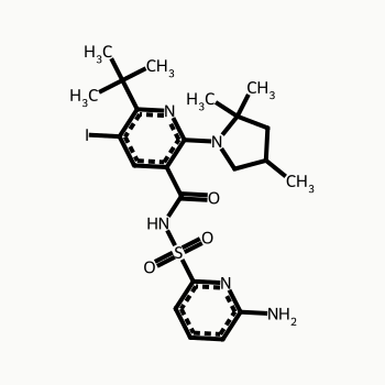 CC1CN(c2nc(C(C)(C)C)c(I)cc2C(=O)NS(=O)(=O)c2cccc(N)n2)C(C)(C)C1